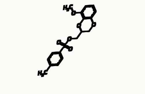 COc1cccc2c1OC(COS(=O)(=O)c1ccc(C)cc1)CO2